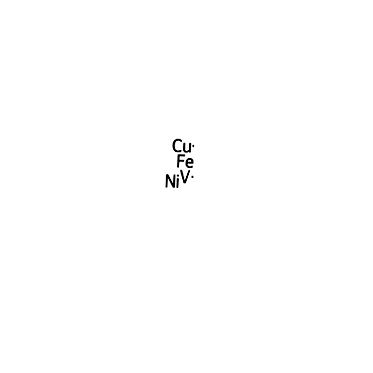 [Cu].[Fe].[Ni].[V]